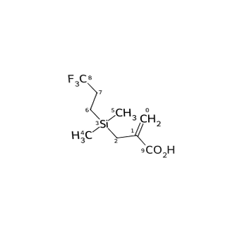 C=C(C[Si](C)(C)CCC(F)(F)F)C(=O)O